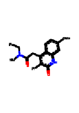 CCCCN(CC(C)C)C(=O)Cc1c(C(C)C)c(=O)[nH]c2cc(OC)ccc12